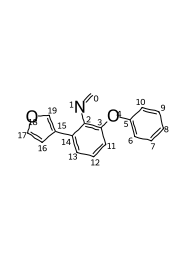 C=Nc1c(Oc2ccccc2)cccc1-c1ccoc1